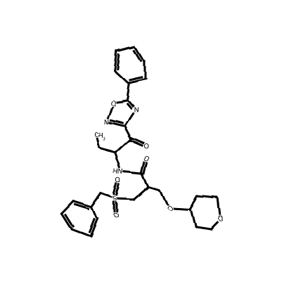 CCC(NC(=O)C(COC1CCOCC1)CS(=O)(=O)Cc1ccccc1)C(=O)c1noc(-c2ccccc2)n1